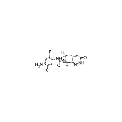 Nc1cc(F)c(NC(=O)N2[C@H]3CC[C@@H]2c2n[nH]c(=O)cc2C3)cc1Cl